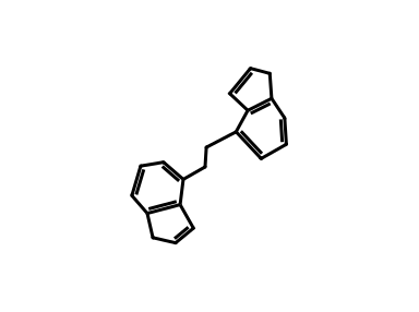 C1=Cc2c(cccc2CCc2cccc3c2C=CC3)C1